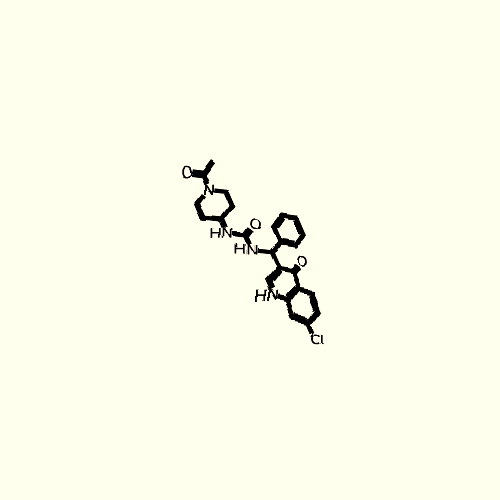 CC(=O)N1CCC(NC(=O)NC(c2ccccc2)c2c[nH]c3cc(Cl)ccc3c2=O)CC1